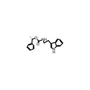 C[C@H](OC(=O)NCCc1c[nH]c2ccccc12)c1ccccc1